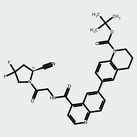 CC(C)(C)OC(=O)N1CCCc2cc(-c3ccc4nccc(C(=O)NCC(=O)N5CC(F)(F)C[C@H]5C#N)c4c3)ccc21